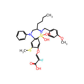 CCCCC1CN(c2ccccc2)c2cc(SC)c(O/C=C(\F)C(=O)O)cc2S(O)(O)N1Cc1ccc(OC)cc1